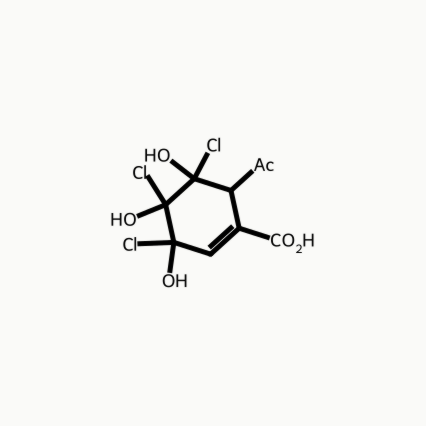 CC(=O)C1C(C(=O)O)=CC(O)(Cl)C(O)(Cl)C1(O)Cl